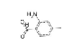 Cc1ccc([SH](=O)=O)c(N)c1